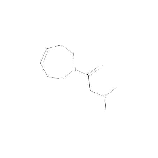 C[C@H]1CC=CCCN1C(=O)CN(C)C